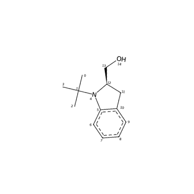 CC(C)(C)N1c2ccccc2C[C@@H]1CO